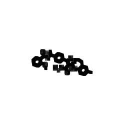 COc1ccccc1C(=O)NC(C)c1ccc(-c2nn3c(c2C(N)=O)Nc2ccc(C)cc2CC3)cc1